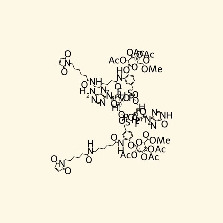 COC(=O)C1O[C@@H](Oc2ccc(CSP3(=O)OC[C@H]4O[C@@H](n5cnc6c(N)ncnc65)[C@H](F)[C@@H]4OP(=O)(SCc4ccc(O[C@@H]5OC(C(=O)OC)[C@@H](OC(C)=O)[C@H](OC(C)=O)C5OC(C)=O)c(NC(=O)CCCCCNC(=O)CCCCCN5C(=O)C=CC5=O)c4)OC[C@H]4O[C@@H](n5cnc6c(=O)[nH]cnc65)[C@H](F)[C@@H]4O3)cc2NC(=O)CCCCCNC(=O)CCCCCN2C(=O)C=CC2=O)[C@@H](OC(C)=O)C(OC(C)=O)[C@@H]1OC(C)=O